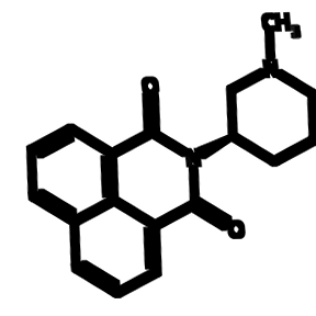 CN1CCC[C@@H](N2C(=O)c3cccc4cccc(c34)C2=O)C1